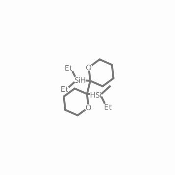 CC[SiH](C)C1(C2([SiH](CC)CC)CCCCO2)CCCCO1